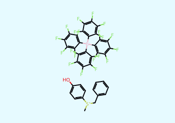 C[S+](Cc1ccccc1)c1ccc(O)cc1.Fc1c(F)c(F)c([B-](c2c(F)c(F)c(F)c(F)c2F)(c2c(F)c(F)c(F)c(F)c2F)c2c(F)c(F)c(F)c(F)c2F)c(F)c1F